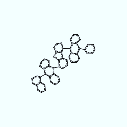 c1ccc(-c2c3ccccc3c(-c3cccc4sc5c(-c6c7ccccc7c(-c7cccc8ccccc78)c7ccccc67)cccc5c34)c3ccccc23)cc1